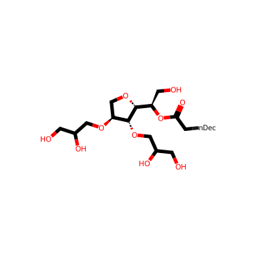 CCCCCCCCCCCC(=O)O[C@H](CO)[C@H]1OC[C@H](OCC(O)CO)[C@H]1OCC(O)CO